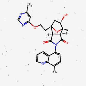 C[C@@]12O[C@@](CCOc3cc(C(F)(F)F)ncn3)(C[C@H]1O)[C@@H]1C(=O)N(c3ccc(C#N)c4ncccc34)C(=O)[C@@H]12